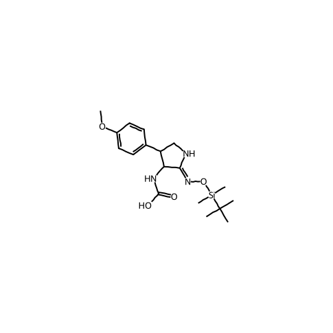 COc1ccc(C2CN/C(=N\O[Si](C)(C)C(C)(C)C)C2NC(=O)O)cc1